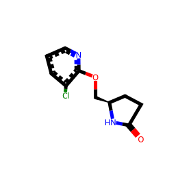 O=C1CC[C@H](COc2ncccc2Cl)N1